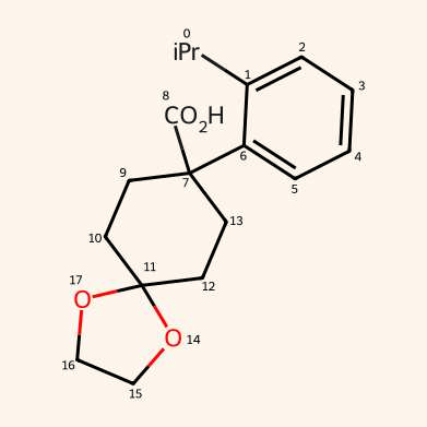 CC(C)c1ccccc1C1(C(=O)O)CCC2(CC1)OCCO2